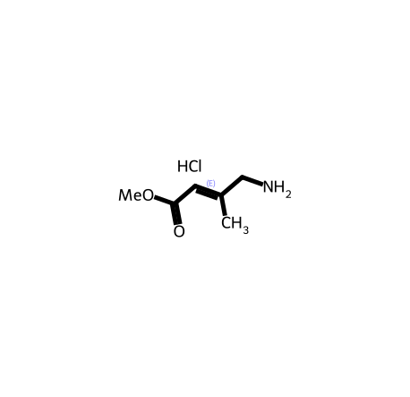 COC(=O)/C=C(\C)CN.Cl